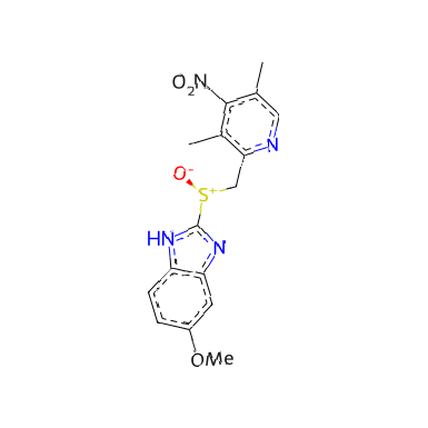 COc1ccc2[nH]c([S@@+]([O-])Cc3ncc(C)c([N+](=O)[O-])c3C)nc2c1